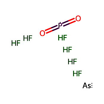 F.F.F.F.F.F.O=[P]=O.[As]